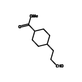 COC(=O)C1CCC(CCC=O)CC1